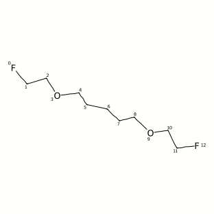 FCCOCCCCCOCCF